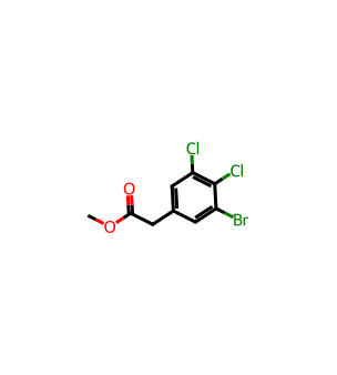 COC(=O)Cc1cc(Cl)c(Cl)c(Br)c1